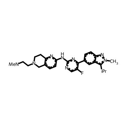 CNCCN1CCc2nc(Nc3ncc(F)c(-c4ccc5nn(C)c(C(C)C)c5c4)n3)ccc2C1